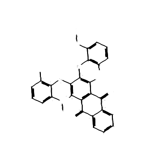 COc1cccc(C)c1Nc1c(F)c2c(c(F)c1Nc1c(C)cccc1OC)C(=O)c1ccccc1C2=O